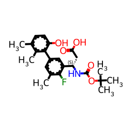 Cc1ccc(O)c(-c2cc(C)c(F)c([C@H](CC(=O)O)NC(=O)OC(C)(C)C)c2)c1C